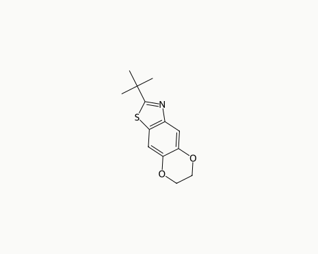 CC(C)(C)c1nc2cc3c(cc2s1)OCCO3